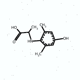 Cc1cc(O)cc(C)c1NC(C)C(=O)O